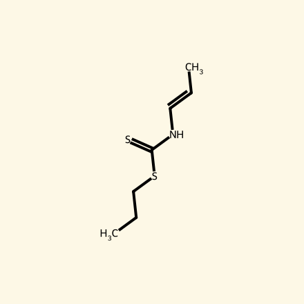 CC=CNC(=S)SCCC